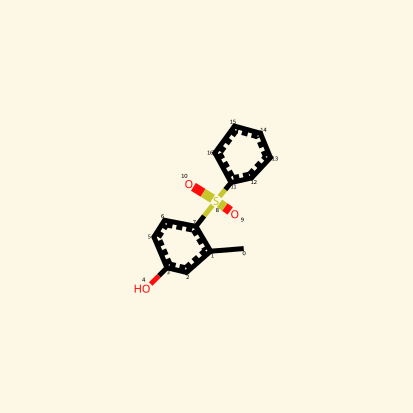 Cc1cc(O)ccc1S(=O)(=O)c1ccccc1